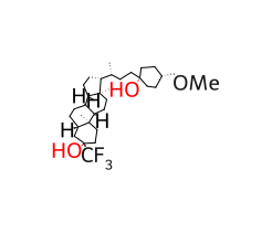 COC[C@H]1CC[C@](O)(CC[C@@H](C)[C@H]2CC[C@H]3[C@@H]4CC[C@H]5C[C@](O)(C(F)(F)F)CC[C@]5(C)[C@H]4CC[C@]23C)CC1